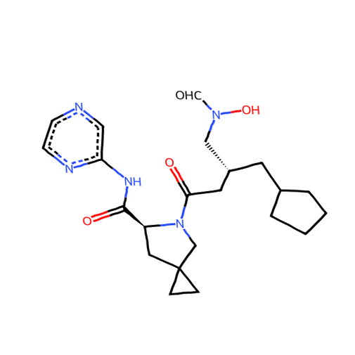 O=CN(O)C[C@@H](CC(=O)N1CC2(CC2)C[C@H]1C(=O)Nc1cnccn1)CC1CCCC1